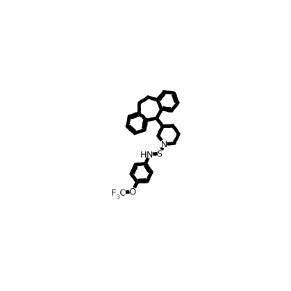 FC(F)(F)Oc1ccc(NSN2CCCC(C3c4ccccc4CCc4ccccc43)C2)cc1